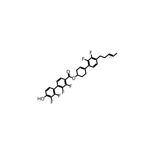 C/C=C/CCc1ccc(C2=CCC(OC(=O)c3ccc(-c4ccc(O)c(F)c4F)c(F)c3F)CC2)c(F)c1F